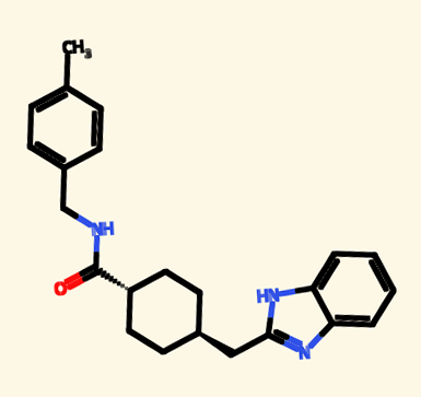 Cc1ccc(CNC(=O)[C@H]2CC[C@H](Cc3nc4ccccc4[nH]3)CC2)cc1